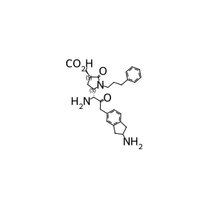 NC1Cc2ccc(CC(=O)C(N)[C@@H]3C[C@@H](CC(=O)O)C(=O)N3CCCc3ccccc3)cc2C1